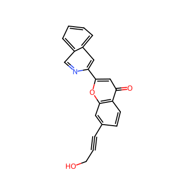 O=c1cc(-c2cc3ccccc3cn2)oc2cc(C#CCO)ccc12